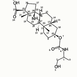 CC(CO)NC(=O)O[C@H]1CC[C@@]2(C)[C@H](CC[C@@H]3[C@@H]2CC[C@]2(C)[C@@H](C(=O)O)CC[C@]32N)C1